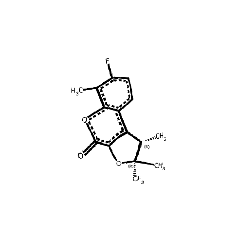 Cc1c(F)ccc2c3c(c(=O)oc12)O[C@@](C)(C(F)(F)F)[C@H]3C